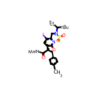 [CH2]CCCC(CC)N(Cc1nc2oc(-c3ccc(C)cc3)c(C(=O)NC)c2cc1I)[SH](=O)=O